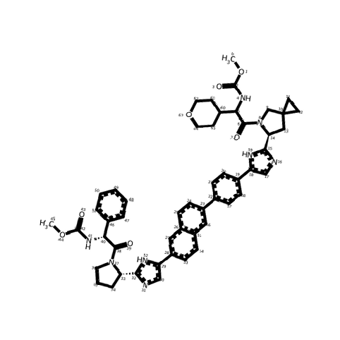 COC(=O)NC(C(=O)N1CC2(CC2)C[C@H]1c1ncc(-c2ccc(-c3ccc4cc(-c5cnc([C@@H]6CCCN6C(=O)[C@H](NC(=O)OC)c6ccccc6)[nH]5)ccc4c3)cc2)[nH]1)C1CCOCC1